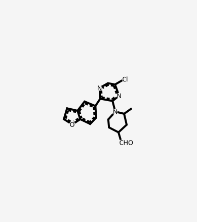 CC1CC(C=O)CCN1c1nc(Cl)cnc1-c1ccc2occc2c1